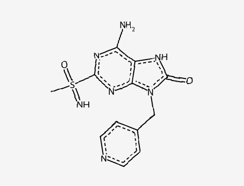 CS(=N)(=O)c1nc(N)c2[nH]c(=O)n(Cc3ccncc3)c2n1